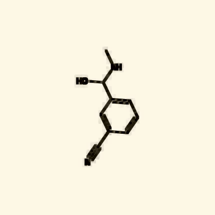 CNC(O)c1cccc(C#N)c1